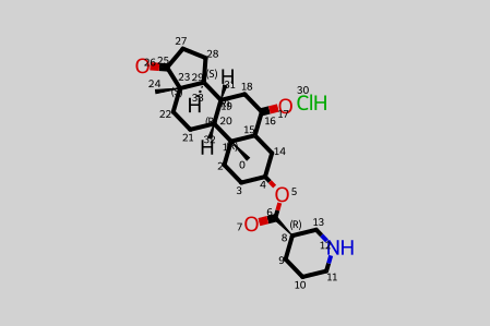 C[C@]12CCC(OC(=O)[C@@H]3CCCNC3)CC1C(=O)C[C@@H]1[C@H]2CC[C@]2(C)C(=O)CC[C@@H]12.Cl